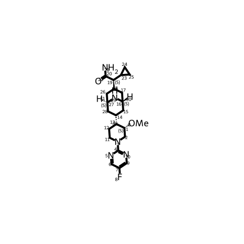 CO[C@@H]1CN(c2ncc(F)cn2)CC[C@@H]1C1C[C@H]2CC([C@@H](C(N)=O)C3CC3)C[C@H](C1)N2